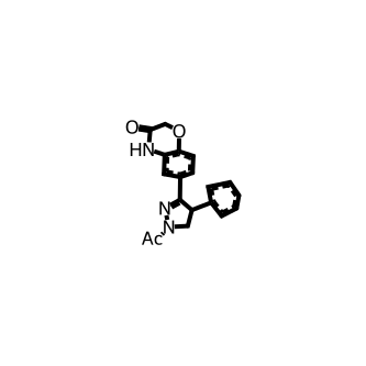 CC(=O)N1CC(c2ccccc2)C(c2ccc3c(c2)NC(=O)CO3)=N1